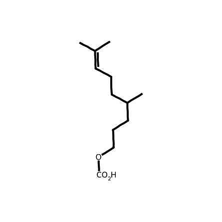 CC(C)=CCCC(C)CCCOC(=O)O